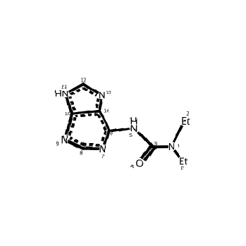 CCN(CC)C(=O)Nc1ncnc2[nH]cnc12